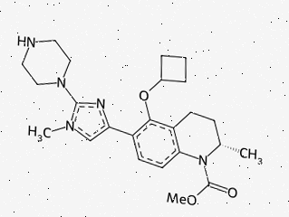 COC(=O)N1c2ccc(-c3cn(C)c(N4CCNCC4)n3)c(OC3CCC3)c2CC[C@@H]1C